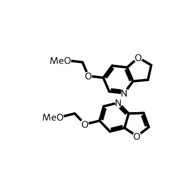 COCOc1cnc2c(c1)OCC2.COCOc1cnc2ccoc2c1